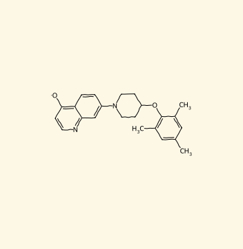 Cc1cc(C)c(OC2CCN(c3ccc4c([O])ccnc4c3)CC2)c(C)c1